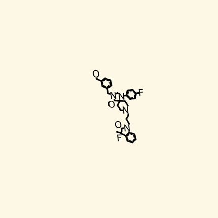 CC1(F)C(=O)N(CCCN2CCC3(CC2)C(=O)N(Cc2cccc(C=O)c2)CN3c2ccc(F)cc2)c2ccccc21